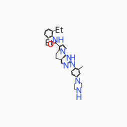 CCc1cccc(CC)c1NC(=O)c1ccn2c1CCc1cnc(Nc3ccc(N4CCNCC4)cc3C)nc1-2